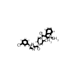 CC1CN(C(=O)c2ncn(-c3cccc(Cl)c3)n2)CCN1C(=O)c1cn(C)c2ccccc12